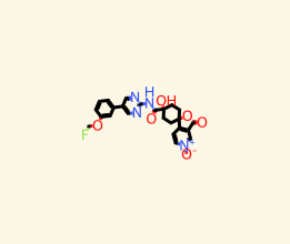 O=C1OC2(CCC(O)(C(=O)Nc3ncc(-c4cccc(OCF)c4)cn3)CC2)c2cc[n+]([O-])cc21